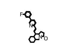 O=C1CCC2C(/C=C/c3ccc(-c4cccc(F)c4)cn3)C3CCCCC3CN12